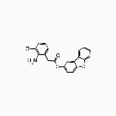 O=C(Cc1cccc(Cl)c1[N+](=O)[O-])Oc1ccc2oc3ccccc3c2c1